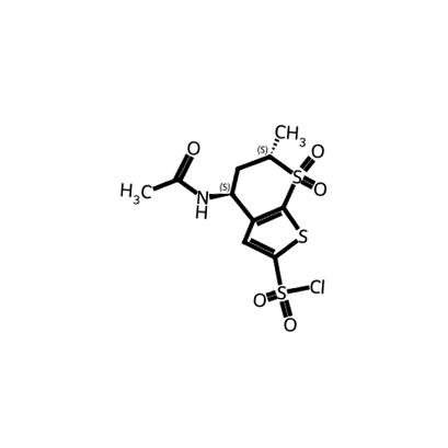 CC(=O)N[C@H]1C[C@H](C)S(=O)(=O)c2sc(S(=O)(=O)Cl)cc21